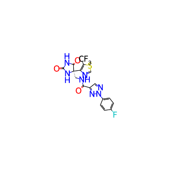 O=C1NC(=O)[C@@](CNC(=O)c2cnn(-c3ccc(F)cc3)n2)(c2ncsc2C(F)(F)F)N1